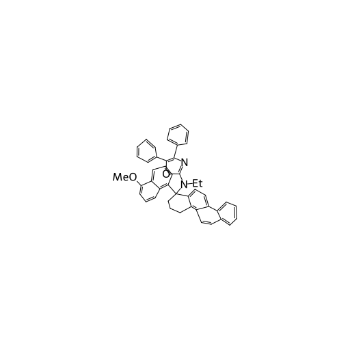 CCN(c1nc(-c2ccccc2)c(-c2ccccc2)o1)C1(c2cccc3c(OC)cccc23)CCCc2c1ccc1c2ccc2ccccc21